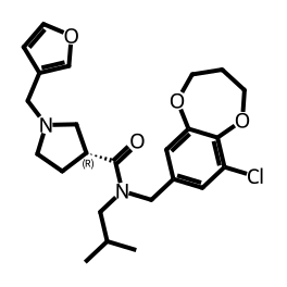 CC(C)CN(Cc1cc(Cl)c2c(c1)OCCCO2)C(=O)[C@@H]1CCN(Cc2ccoc2)C1